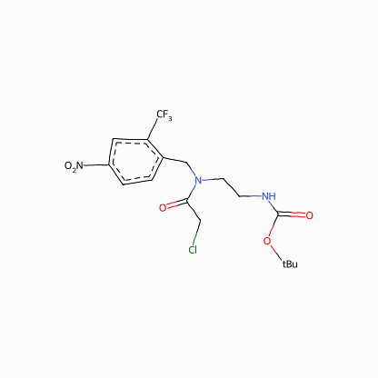 CC(C)(C)OC(=O)NCCN(Cc1ccc([N+](=O)[O-])cc1C(F)(F)F)C(=O)CCl